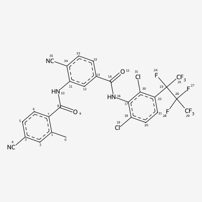 Cc1cc(C#N)ccc1C(=O)Nc1cc(C(=O)Nc2c(Cl)ccc(C(F)(C(F)(F)F)C(F)(F)C(F)(F)F)c2Cl)ccc1C#N